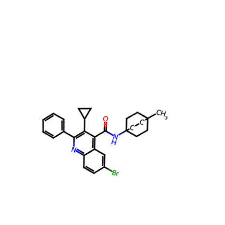 CC12CCC(NC(=O)c3c(C4CC4)c(-c4ccccc4)nc4ccc(Br)cc34)(CC1)CC2